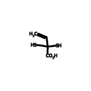 C=CC(S)(S)C(=O)O